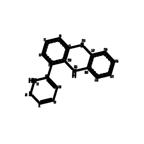 C1=CSNC(c2cccc3c2Nc2ccccc2S3)=C1